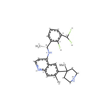 COC1(c2cc3c(N[C@H](C)c4cccc(C(F)F)c4F)ccnc3cc2C(C)=O)CCNCC1